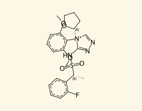 COc1cccc(OC)c1[N+]1([C@H]2CCCO2)C=NN=C1NS(=O)(=O)[C@H](C)c1ccccc1F